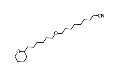 N#CCCCCCCCCOCCCCCCC1CCCCO1